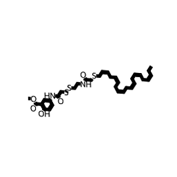 CC/C=C\C/C=C\C/C=C\C/C=C\C/C=C\C/C=C\CSCC(=O)NCCSSCC(=O)Nc1ccc(O)c(C(=O)OC)c1